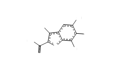 CC(=O)c1oc2c(C)c(C)c(O)cc2c1Br